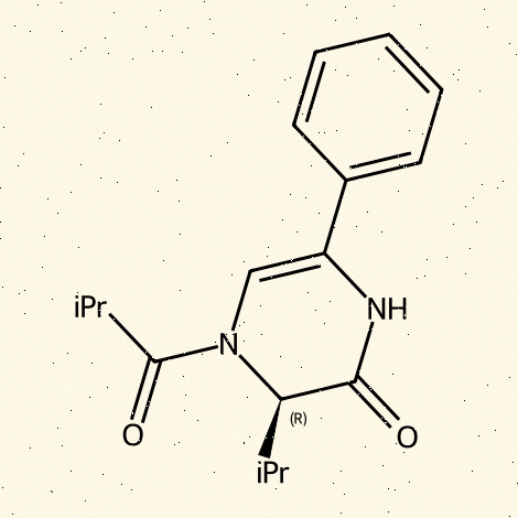 CC(C)C(=O)N1C=C(c2ccccc2)NC(=O)[C@H]1C(C)C